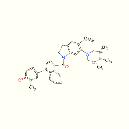 COc1cc2c(cc1N1C[C@@H](C)N(C)[C@@H](C)C1)N(C(=O)c1ccc(-c3ccc(=O)n(C)c3)c3ccccc13)CC2